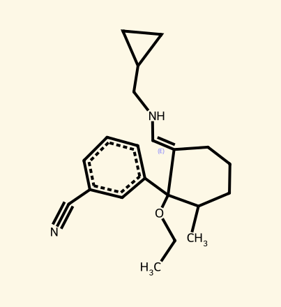 CCOC1(c2cccc(C#N)c2)/C(=C/NCC2CC2)CCCC1C